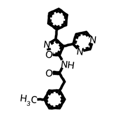 Cc1cccc(CC(=O)Nc2onc(-c3ccccc3)c2-c2ccncn2)c1